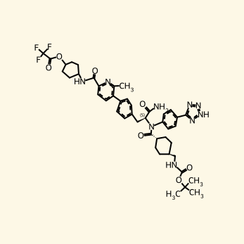 Cc1nc(C(=O)NC2CCC(OC(=O)C(F)(F)F)CC2)ccc1-c1ccc(C[C@@H](C(N)=O)N(c2ccc(-c3nn[nH]n3)cc2)C(=O)[C@H]2CC[C@H](CNC(=O)OC(C)(C)C)CC2)cc1